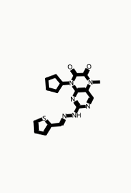 Cn1c(=O)c(=O)n(C2CCCC2)c2nc(N/N=C/c3cccs3)ncc21